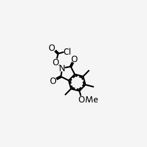 COc1c(C)c(C)c2c(c1C)C(=O)N(OC(=O)Cl)C2=O